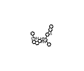 C1=C(c2ccccc2)NC(c2ccc3c(ccc4ccc5c(c43)NC(c3ccccc3)S5)c2)NC1c1ccc2c(c1)sc1cc3ccccc3cc12